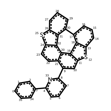 c1ccc(-c2cccc(-c3cc4sc5cccc6c5c4c4c3ccc3sc5cccc-6c5c34)n2)cc1